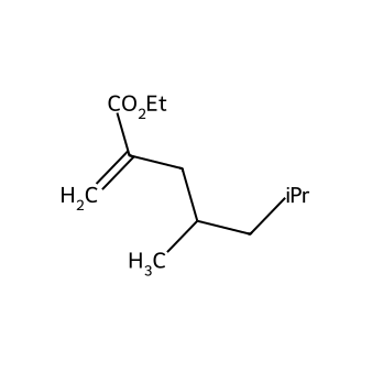 C=C(CC(C)CC(C)C)C(=O)OCC